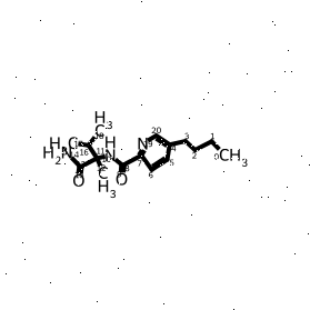 CCCCc1ccc(C(=O)NC(C)(C(N)=O)C(C)C)nc1